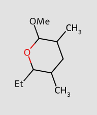 CCC1OC(OC)C(C)CC1C